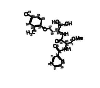 COC[C@@H](NC(=O)c1cnccn1)C(=O)N[C@H](CCOc1ccc(Cl)cc1C)B(O)O